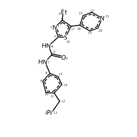 CCc1nc(NC(=O)Nc2ccc(CC(C)C)cc2)sc1-c1ccncc1